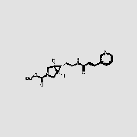 CC(C)(C)OC(=O)N1C[C@@H]2[C@@H](CCNC(=O)/C=C/c3cccnc3)[C@@H]2C1